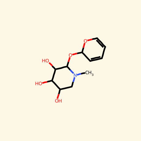 CN1CC(O)C(O)C(O)C1OC1C=CC=CO1